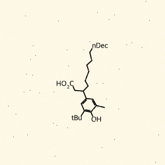 CCCCCCCCCCCCCCCCC(CC(=O)O)c1cc(C)c(O)c(C(C)(C)C)c1